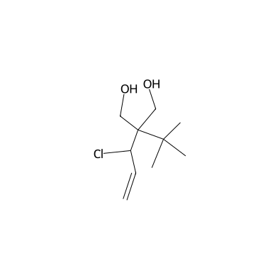 C=CC(Cl)C(CO)(CO)C(C)(C)C